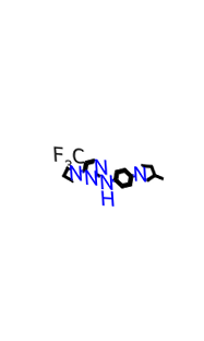 CC1CCN(c2ccc(Nc3ncc(C(F)(F)F)c(N4CCC4)n3)cc2)C1